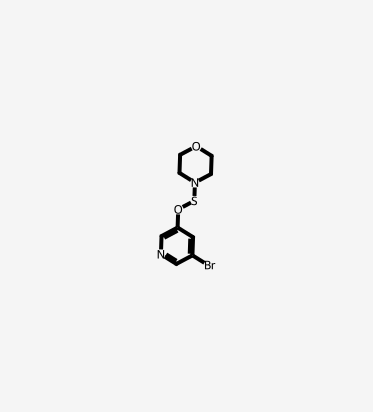 Brc1cncc(OSN2CCOCC2)c1